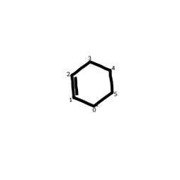 [CH]1C=CCCC1